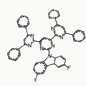 FC1=CC2c3cc(F)ccc3N(c3nc(-c4nc(-c5ccccc5)cc(-c5ccccc5)n4)cc(-c4nc(-c5ccccc5)cc(-c5ccccc5)n4)n3)C2C=C1